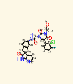 COC[C@H](C)n1c(=O)c(-c2cccc(F)c2Cl)cn(CC(=O)Nc2ccc3c(c2)C[C@@]2(C3)C(=O)Nc3ncccc32)c1=O